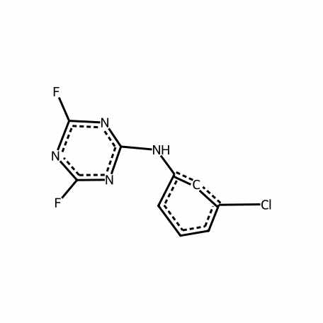 Fc1nc(F)nc(Nc2cccc(Cl)c2)n1